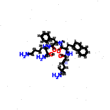 CN(C(=O)[C@@H](Cc1ccc2ccccc2c1)NC(=O)/C=C/CC(C)(C)N)[C@H](Cc1ccccc1)C(=O)N[C@@H](CCCCN)C(N)=O